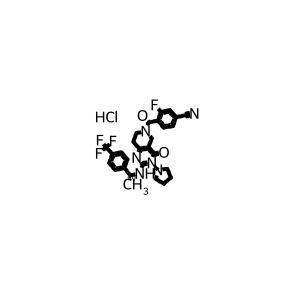 C[C@H](Nc1nc2c(c(=O)n1N1CCCC1)CN(C(=O)c1ccc(C#N)cc1F)CC2)c1ccc(C(F)(F)F)cc1.Cl